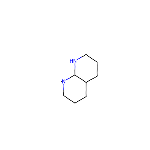 C1C[N]C2NCCCC2C1